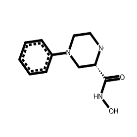 O=C(NO)[C@@H]1CN(c2ccccc2)CC[N]1